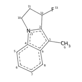 Cc1c2n(c3ccccc13)CCC2F